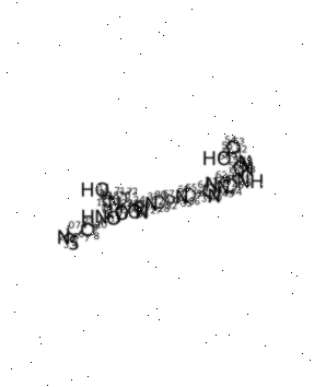 Cc1ncsc1-c1ccc(CNC(=O)[C@@H]2C[C@@H](O)CN2C(=O)C(c2cc(N3CCC4(CC3)CC(N3CCC(c5cnc(N6CCc7[nH]c8nnc(-c9ccccc9O)cc8c7[C@H]6C)nc5)CC3)C4)no2)C(C)C)cc1